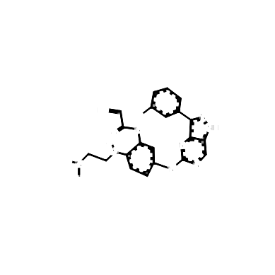 C=CC(=O)Nc1cc(Nc2ncc3[nH]nc(-c4cccc(F)c4)c3n2)ccc1N(C)CCN(C)C